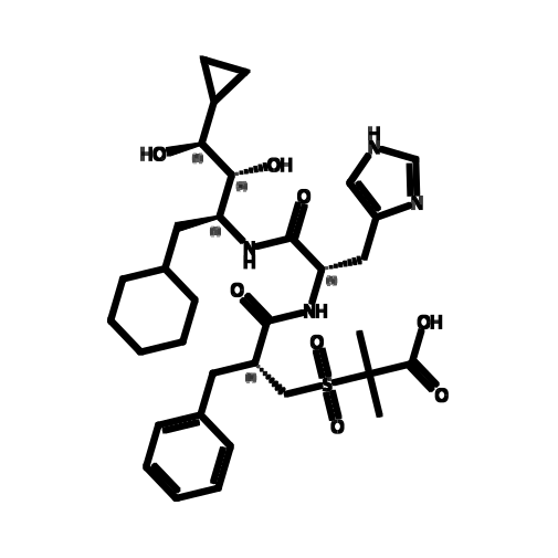 CC(C)(C(=O)O)S(=O)(=O)C[C@H](Cc1ccccc1)C(=O)N[C@@H](Cc1c[nH]cn1)C(=O)N[C@@H](CC1CCCCC1)[C@@H](O)[C@@H](O)C1CC1